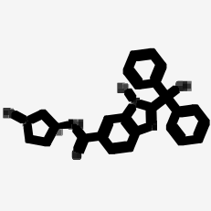 CCN1CC[C@H](NC(=O)c2ccc3nc(C(O)(c4ccccc4)c4ccccc4)n(CC)c3c2)C1